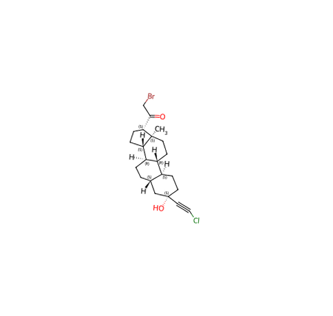 C[C@]12CC[C@H]3[C@@H](CC[C@H]4C[C@](O)(C#CCl)CC[C@@H]43)[C@@H]1CC[C@@H]2C(=O)CBr